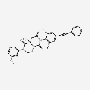 Cc1cncc(N2CCN3C(=O)N(c4c(F)cc(C#Cc5ccccc5)cc4F)C(=O)CC3(C)C2=O)n1